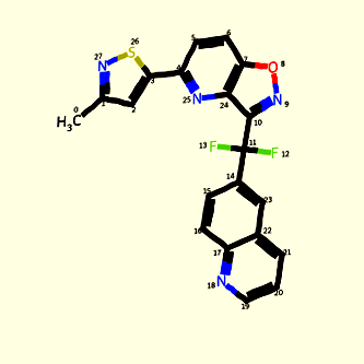 Cc1cc(-c2ccc3onc(C(F)(F)c4ccc5ncccc5c4)c3n2)sn1